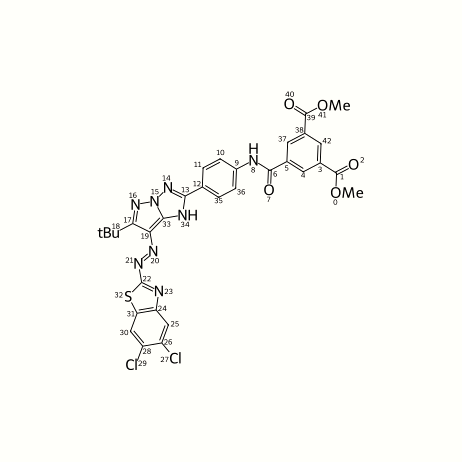 COC(=O)c1cc(C(=O)Nc2ccc(-c3nn4nc(C(C)(C)C)c(/N=N/c5nc6cc(Cl)c(Cl)cc6s5)c4[nH]3)cc2)cc(C(=O)OC)c1